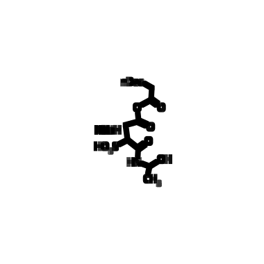 CCCCCCCCCCCC(=O)OC(=O)CC(C(=O)NC(C)O)S(=O)(=O)O.[NaH].[NaH]